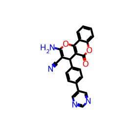 N#CC1=C(N)Oc2c(c(=O)oc3ccccc23)C1c1ccc(-c2cncnc2)cc1